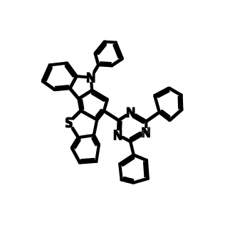 c1ccc(-c2nc(-c3ccccc3)nc(-c3cc4c(c5ccccc5n4-c4ccccc4)c4sc5ccccc5c34)n2)cc1